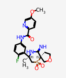 COc1ccc(C(=O)Nc2ccc(F)c([C@]3(C)CS(=O)(=O)[C@@]4(CCOC4)C(=N)N3)c2)nc1